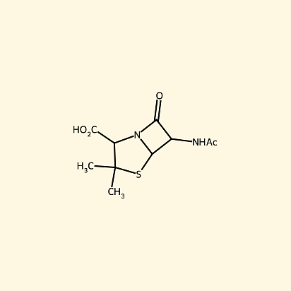 CC(=O)NC1C(=O)N2C1SC(C)(C)C2C(=O)O